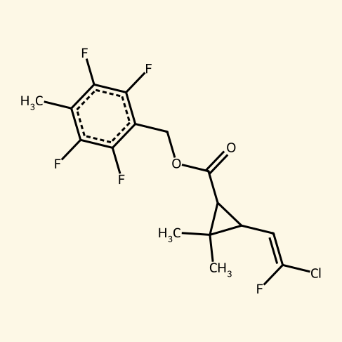 Cc1c(F)c(F)c(COC(=O)C2C(/C=C(\F)Cl)C2(C)C)c(F)c1F